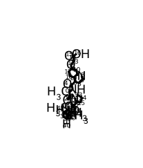 C[C@@H](NC(=O)c1ccnc2cc(OCC(=O)O)ccc12)C(=O)N1CCCC1B1OC2C[C@@H]3C[C@H](C3(C)C)[C@]2(C)O1